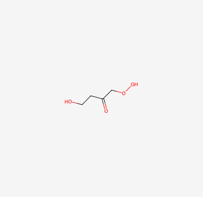 O=C(CCO)COO